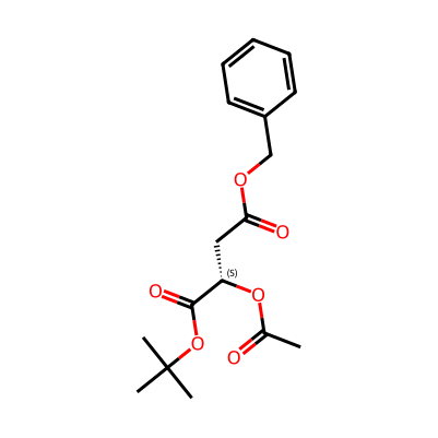 CC(=O)O[C@@H](CC(=O)OCc1ccccc1)C(=O)OC(C)(C)C